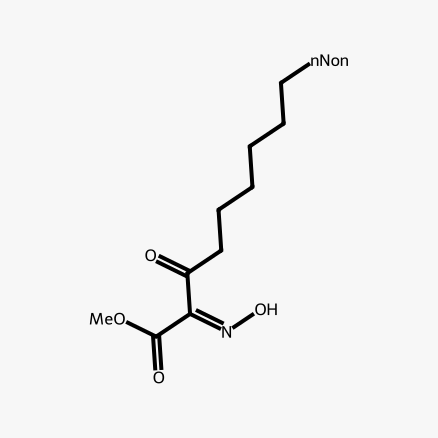 CCCCCCCCCCCCCCCC(=O)/C(=N\O)C(=O)OC